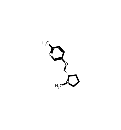 Cc1ccc(OC[C@@H]2CCCN2C)cn1